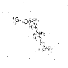 CCN(CCN1CCN(C(C)(C)C)CC1)CC(C)NCCN1CCN(C(C)C(C)(C)N2CCN(CCN(C)C)CC2)CC1